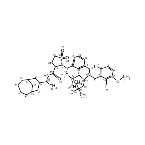 COc1ccc(Cl)c(CN(Cc2cccc(CN3C(C(=O)NC(C)C4CC5CCCCC(C5)C4)CCS3(=O)=O)c2)[C@H](CN(C)C)CC(C)(C)C)c1F